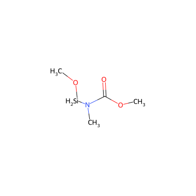 CO[SiH2]N(C)C(=O)OC